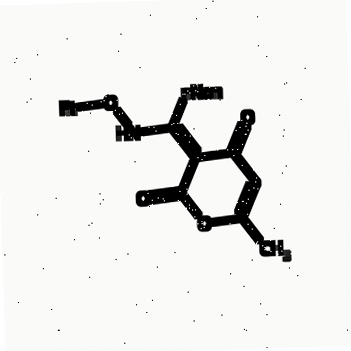 CCCCCCCCCC(NOCC)=C1C(=O)C=C(C)OC1=O